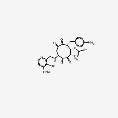 COc1ccnc(CN[C@H]2CC(=O)C(=O)[C@H](Cc3ccc(N)cc3)[C@H](OC(=O)C(C)C)[C@H](C)C(=O)C2=O)c1O